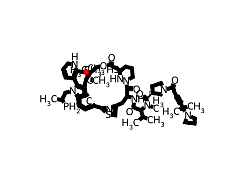 COC(C)C1=C(c2c3c4cc(ccc4n2CC(C)P)-c2nc(cs2)CC(NC(=O)C(C(C)C)N(C)C(=O)[C@H]2CCN(C(=O)C#CC(C)(C)N4CCC4)C2)C(=O)N2CCC[C@](S)(N2)C(=O)OCC(C)(C)C3)C=CCN1